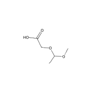 COC(C)OCC(=O)O